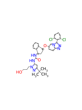 CC(C)(C)c1cc(NC(=O)N[C@H]2CC[C@@H](Oc3ccc4nnc(-c5c(Cl)cccc5Cl)n4c3)c3ccccc32)n(CCCO)n1